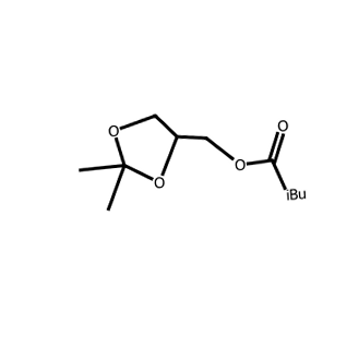 CCC(C)C(=O)OCC1COC(C)(C)O1